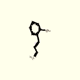 C=C/C=C/c1ccccc1CCCC